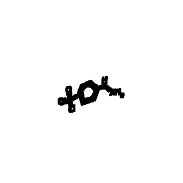 NNc1ccc(S(=O)(=O)Cl)cc1